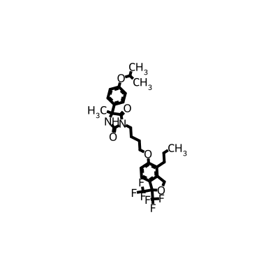 CCCc1c(OCCCCN2C(=O)NC(C)(c3ccc(OC(C)C)cc3)C2=O)ccc2c1COC2(C(F)(F)F)C(F)(F)F